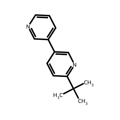 CC(C)(C)c1ccc(-c2cccnc2)cn1